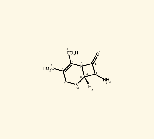 NC1C(=O)N2C(C(=O)O)=C(C(=O)O)CS[C@@H]12